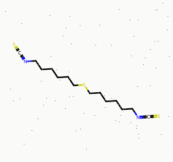 S=C=NCCCCCCSCCCCCCN=C=S